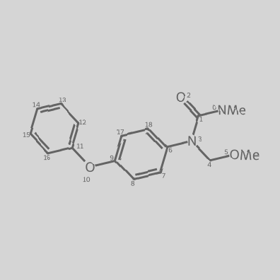 CNC(=O)N(COC)c1ccc(Oc2ccccc2)cc1